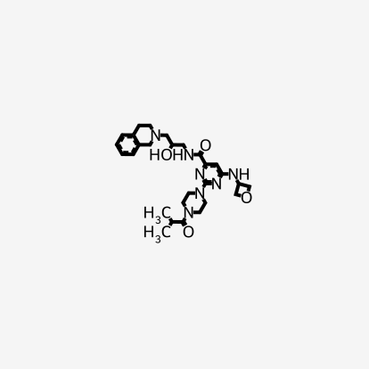 CC(C)C(=O)N1CCN(c2nc(NC3COC3)cc(C(=O)NCC(O)CN3CCc4ccccc4C3)n2)CC1